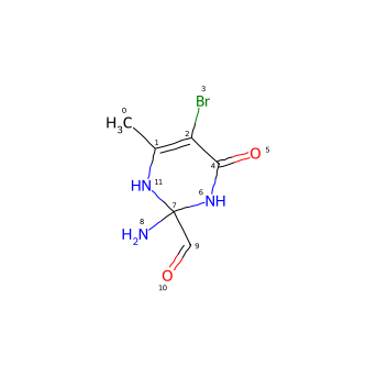 CC1=C(Br)C(=O)NC(N)(C=O)N1